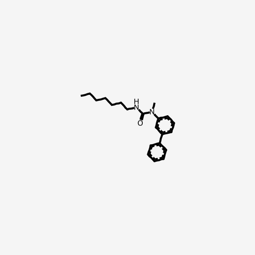 CCCCCCCNC(=O)N(C)c1cccc(-c2ccccc2)c1